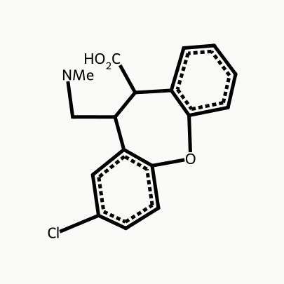 CNCC1c2cc(Cl)ccc2Oc2ccccc2C1C(=O)O